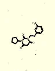 O=C1CC(=O)N(C2CCCC2)C(=O)N1CCc1cccc(C(F)(F)F)c1